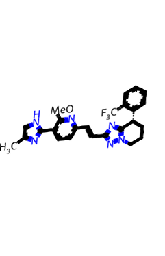 COc1nc(C=Cc2nc3n(n2)CCC[C@H]3c2ccccc2C(F)(F)F)ccc1-c1nc(C)c[nH]1